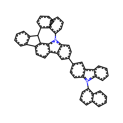 c1ccc(C2c3ccccc3-c3ccc4c5cc(-c6ccc7c(c6)c6ccccc6n7-c6cccc7ccccc67)ccc5n(-c5ccccc5)c4c32)cc1